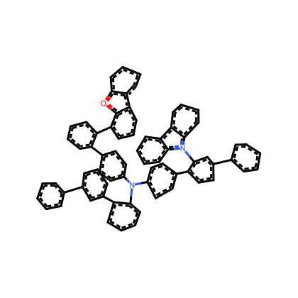 c1ccc(-c2cccc(-c3ccccc3N(c3ccc(-c4ccccc4-c4cccc5c4oc4ccccc45)cc3)c3ccc(-c4ccc(-c5ccccc5)cc4-n4c5ccccc5c5ccccc54)cc3)c2)cc1